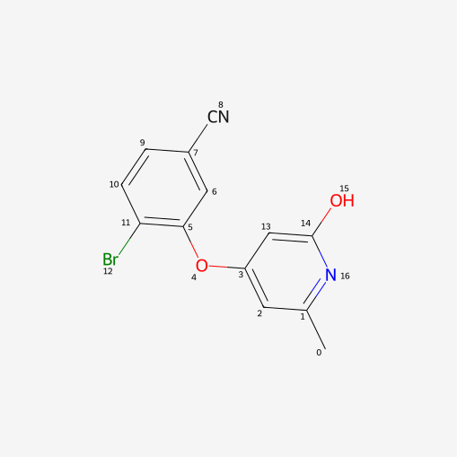 Cc1cc(Oc2cc(C#N)ccc2Br)cc(O)n1